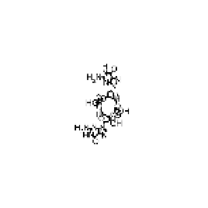 Nc1nc2c(ncn2[C@@H]2O[C@@H]3COP(=O)(O)OC4C[C@H](n5cnc6c(=O)[nH]c(N)nc65)O[C@@H]4COP(=O)(O)O[C@@H]3C2O)c(=O)[nH]1